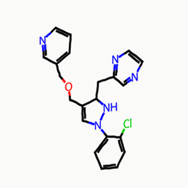 Clc1ccccc1N1C=C(COCc2cccnc2)C(Cc2cnccn2)N1